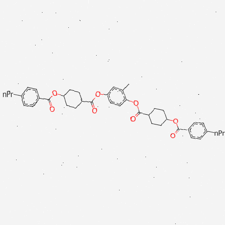 CCCc1ccc(C(=O)OC2CCC(C(=O)Oc3ccc(OC(=O)C4CCC(OC(=O)c5ccc(CCC)cc5)CC4)c(C)c3)CC2)cc1